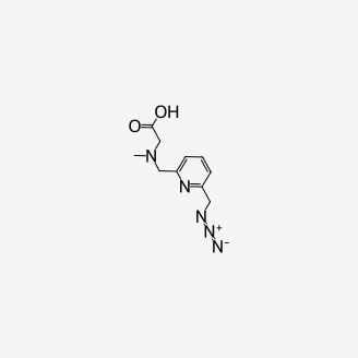 CN(CC(=O)O)Cc1cccc(CN=[N+]=[N-])n1